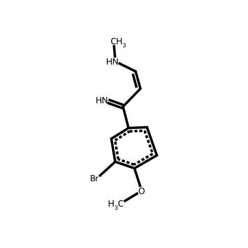 CN/C=C\C(=N)c1ccc(OC)c(Br)c1